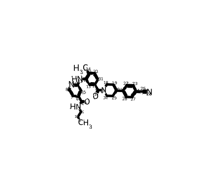 CCCNC(=O)c1ccnc(Nc2cc(C(=O)N3CCC(c4ccc(C#N)cc4)CC3)ccc2C)c1